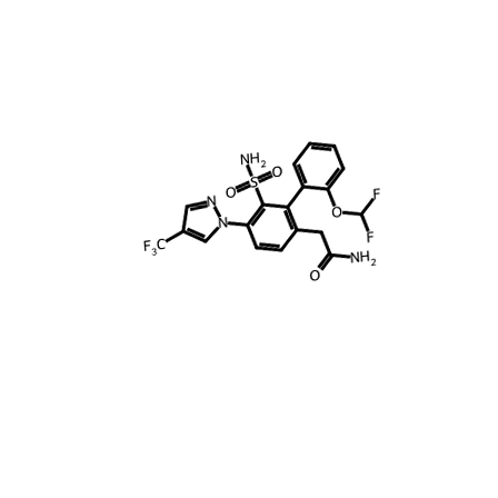 NC(=O)Cc1ccc(-n2cc(C(F)(F)F)cn2)c(S(N)(=O)=O)c1-c1ccccc1OC(F)F